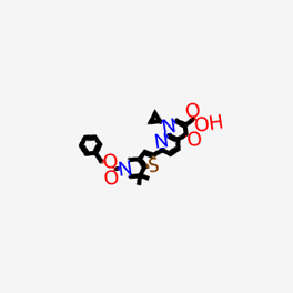 CC1(C)CN(C(=O)OCc2ccccc2)Cc2cc(-c3ccc4c(=O)c(C(=O)O)cn(C5CC5)c4n3)sc21